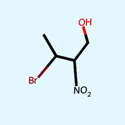 CC(Br)C(CO)[N+](=O)[O-]